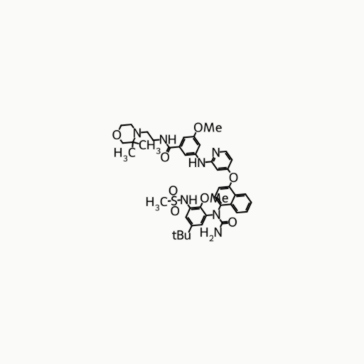 COc1cc(Nc2cc(Oc3ccc(N(C(N)=O)c4cc(C(C)(C)C)cc(NS(C)(=O)=O)c4OC)c4ccccc34)ccn2)cc(C(=O)NCCN2CCOCC2(C)C)c1